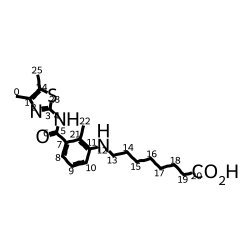 Cc1nc(NC(=O)c2cccc(NCCCCCCCC(=O)O)c2C)sc1C